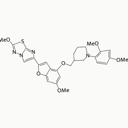 COc1ccc(N2CCCC(COc3cc(OC)cc4oc(-c5cn6nc(OC)sc6n5)cc34)C2)c(OC)c1